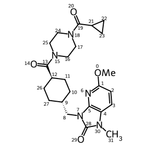 COc1ccc2c(n1)n(C[C@H]1CC[C@H](C(=O)N3CCN(C(=O)C4CC4)CC3)CC1)c(=O)n2C